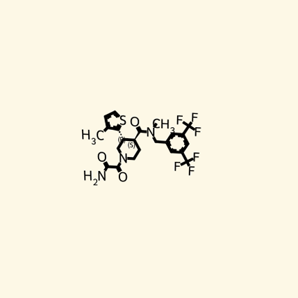 Cc1ccsc1[C@H]1CN(C(=O)C(N)=O)CC[C@@H]1C(=O)N(C)Cc1cc(C(F)(F)F)cc(C(F)(F)F)c1